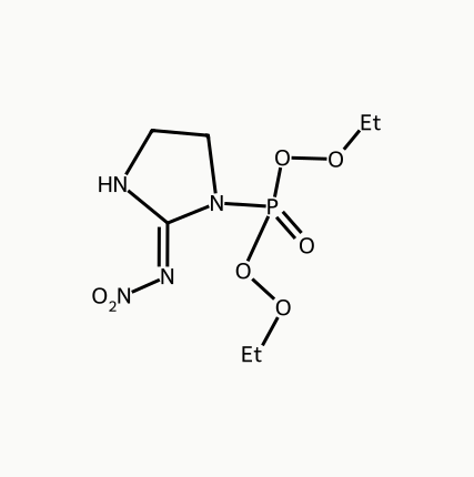 CCOOP(=O)(OOCC)N1CCNC1=N[N+](=O)[O-]